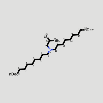 CCCCCCCCCCCCCCCCCCN(CCCCCCCCCCCCCCCCCC)CC(CC)CCCC